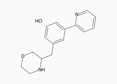 Cl.c1ccc(-c2cccc(CC3COCCN3)c2)nc1